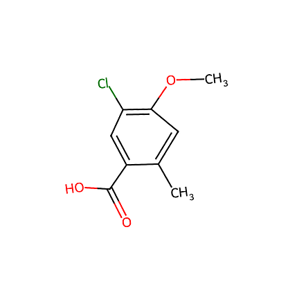 COc1cc(C)c(C(=O)O)cc1Cl